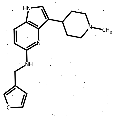 CN1CCC(c2c[nH]c3ccc(NCc4ccoc4)nc23)CC1